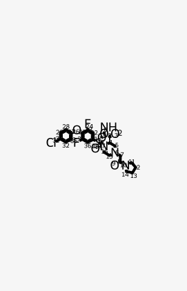 NOC(=O)[C@H]1CN(CC(=O)N2CCCC2)CCN1S(=O)(=O)c1cc(F)c(Oc2ccc(Cl)cc2)c(F)c1